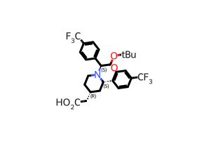 CC(C)(C)OC(=O)[C@H](c1ccc(C(F)(F)F)cc1)N1CC[C@@H](CC(=O)O)C[C@H]1c1ccc(C(F)(F)F)cc1